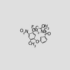 Cc1cc([N+](=O)[O-])c(C)cc1Oc1cccc(S(C)(=O)=NC(=O)C(F)(F)F)c1